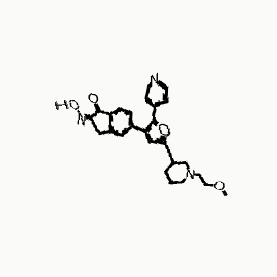 COCCN1CCCC(c2cc(-c3ccc4c(c3)CC(=NO)C4=O)c(-c3ccncc3)o2)C1